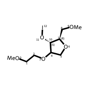 COCCOC1CO[C@H](COC)[C@H]1OI